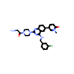 Cn1cc(-c2ccc3nc(N4CCN(C(=O)CN)CC4)nc(NCc4cccc(Cl)c4)c3c2)ccc1=O